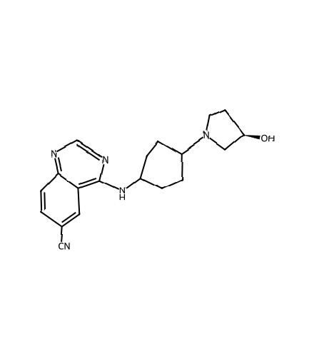 N#Cc1ccc2ncnc(NC3CCC(N4CC[C@@H](O)C4)CC3)c2c1